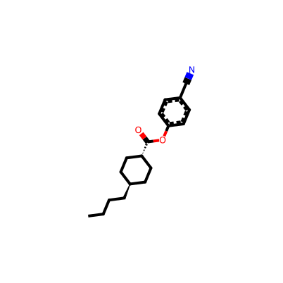 CCCC[C@H]1CC[C@H](C(=O)Oc2ccc(C#N)cc2)CC1